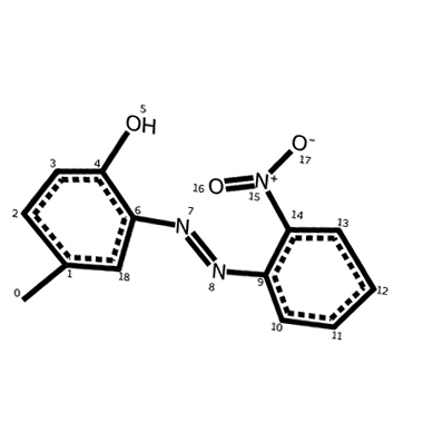 Cc1ccc(O)c(N=Nc2ccccc2[N+](=O)[O-])c1